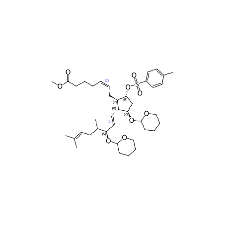 COC(=O)CCC/C=C\C[C@@H]1[C@@H](/C=C/[C@@H](OC2CCCCO2)C(C)CC=C(C)C)[C@H](OC2CCCCO2)C[C@H]1OS(=O)(=O)c1ccc(C)cc1